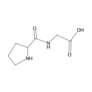 O=C(O)CNC(=O)C1CCCN1